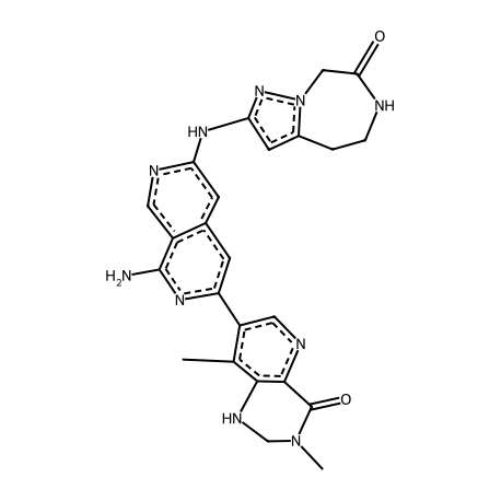 Cc1c(-c2cc3cc(Nc4cc5n(n4)CC(=O)NCC5)ncc3c(N)n2)cnc2c1NCN(C)C2=O